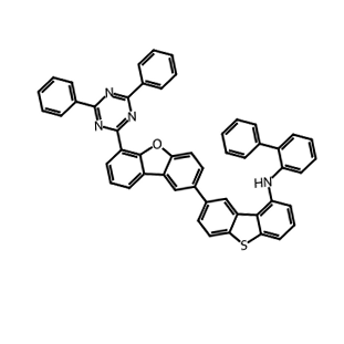 c1ccc(-c2nc(-c3ccccc3)nc(-c3cccc4c3oc3ccc(-c5ccc6sc7cccc(Nc8ccccc8-c8ccccc8)c7c6c5)cc34)n2)cc1